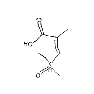 CC(=C[SH](C)(C)=O)C(=O)O